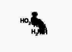 CC(C(=O)O)C1C(=O)N2CC(C(=O)NC(CCCNC(=N)N)C(=O)c3nccs3)SCC2CN1C(=O)CCc1ccccc1